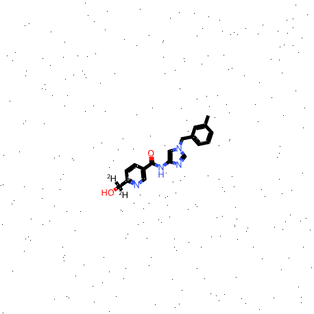 [2H]C([2H])(O)c1ccc(C(=O)Nc2cn(Cc3cccc(C)c3)cn2)cn1